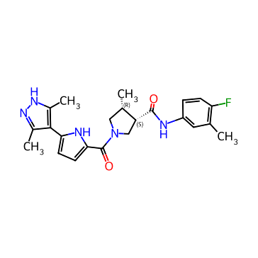 Cc1cc(NC(=O)[C@@H]2CN(C(=O)c3ccc(-c4c(C)n[nH]c4C)[nH]3)C[C@@H]2C)ccc1F